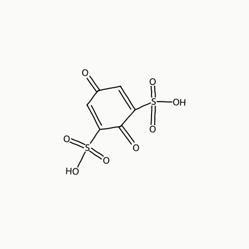 O=C1C=C(S(=O)(=O)O)C(=O)C(S(=O)(=O)O)=C1